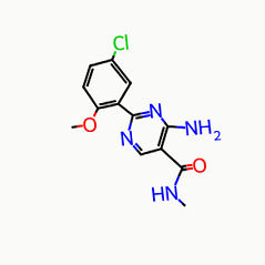 CNC(=O)c1cnc(-c2cc(Cl)ccc2OC)nc1N